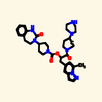 Cc1cc(CC(OC(=O)N2CCC(N3CCc4ccccc4NC3=O)CC2)C(=O)N2CCC(N3CCNCC3)CC2)cc2ccnn12